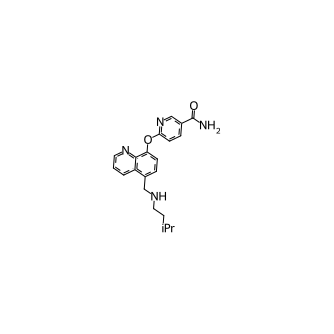 CC(C)CCNCc1ccc(Oc2ccc(C(N)=O)cn2)c2ncccc12